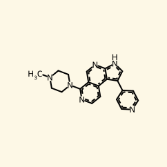 CN1CCN(c2nccc3c2cnc2[nH]cc(-c4ccncc4)c23)CC1